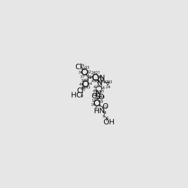 Cl.O=C(NCCCO)c1cccc(S(=O)(=O)N2CCC(n3c(C4CC4)nc4ccc(C(c5ccc(Cl)cc5)c5ccc(Cl)cc5)cc43)CC2)c1